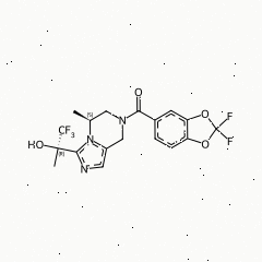 C[C@H]1CN(C(=O)c2ccc3c(c2)OC(F)(F)O3)Cc2cnc([C@@](C)(O)C(F)(F)F)n21